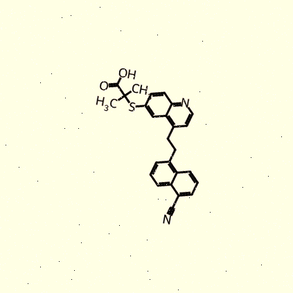 CC(C)(Sc1ccc2nccc(CCc3cccc4c(C#N)cccc34)c2c1)C(=O)O